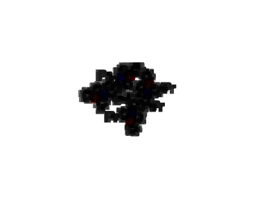 Cc1ccc(N(c2cc(C(C)C)c3ccc4c(N(c5ccc(C)cc5)c5cccc6c5oc5ccccc56)cc(C(C)CCC(C)c5cc(N(c6ccc(C(C)C)cc6)c6cccc7c6oc6ccccc67)c6ccc7c(C(C)C)cc(N(c8ccc(C(C)C)cc8)c8cccc9c8oc8ccccc89)c8ccc5c6c78)c5ccc2c3c54)c2cccc3c2oc2ccccc23)cc1